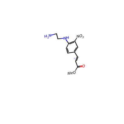 COC(=O)/C=C/c1ccc(NCCN)c([N+](=O)[O-])c1